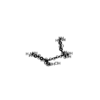 Cl.N=C(N)Nc1ccc(C(=O)Oc2ccc(CNS(=O)(=O)N(CCOCCOCCOCCOCCN([C@@H](CC(=O)O)C(=O)O)S(=O)(=O)NCc3ccc(OC(=O)c4ccc(NC(=N)N)cc4)cc3)[C@@H](CC(=O)O)C(=O)O)cc2)cc1